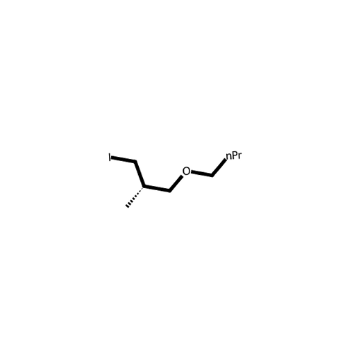 CCCCOC[C@H](C)CI